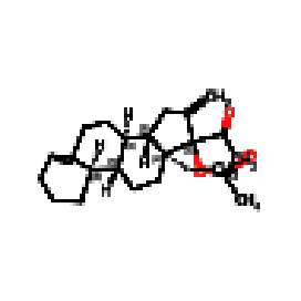 C=C1C[C@H]2[C@@H]3CCC4=CCCC[C@@H]4[C@H]3CC[C@]2(CC)[C@@]1(OC(C)=O)C(C)=O